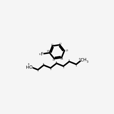 CCCCCCCCO.Fc1ccccc1